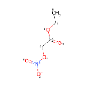 CCOC(=O)CO[N+](=O)[O-]